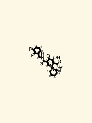 CN1C(=O)c2c(O)c(=O)c(C(=O)NCc3cccc(F)c3F)cn2N2CCCC[C@@H]12